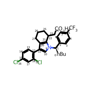 CCCC[C@H](c1ccc(C(F)(F)F)cc1)n1cc(-c2ccc(Cl)cc2Cl)c2c1C(CC(=O)O)CCC2